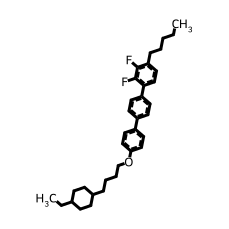 CCCCCc1ccc(-c2ccc(-c3ccc(OCCCCC4CCC(CC)CC4)cc3)cc2)c(F)c1F